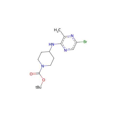 Cc1nc(Br)cnc1NC1CCN(C(=O)OC(C)(C)C)CC1